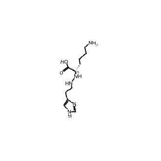 NCCCC[C@H](NNCCc1c[nH]cn1)C(=O)O